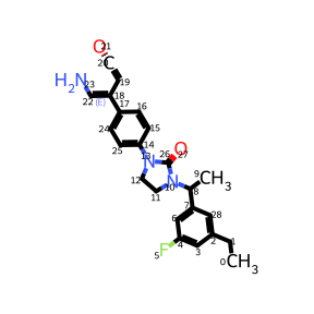 CCc1cc(F)cc(C(C)N2CCN(c3ccc(/C(C=C=O)=C/N)cc3)C2=O)c1